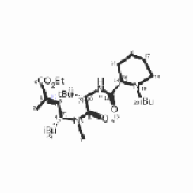 CCOC(=O)/C(C)=C/[C@H]([C@@H](C)CC)N(C)C(=O)[C@@H](NC(=O)[C@H]1CCCCN1C(C)CC)C(C)(C)C